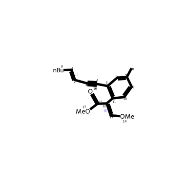 CCCC/C=C/C#Cc1cc(C)ccc1/C(=C\OC)C(=O)OC